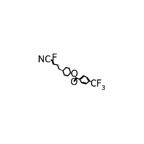 N#CC(F)=CCC[C@H]1CC[C@H](OC(=O)c2ccc(C(F)(F)F)cc2)CC1